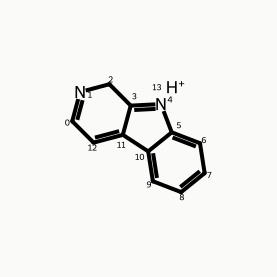 C1=NCC2=Nc3ccccc3C2=C1.[H+]